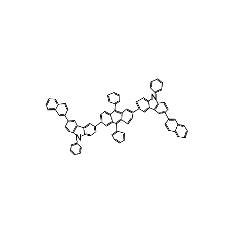 c1ccc(-c2c3ccc(-c4ccc5c(c4)c4cc(-c6ccc7ccccc7c6)ccc4n5-c4ccccc4)cc3c(-c3ccccc3)c3ccc(-c4ccc5c(c4)c4cc(-c6ccc7ccccc7c6)ccc4n5-c4ccccc4)cc23)cc1